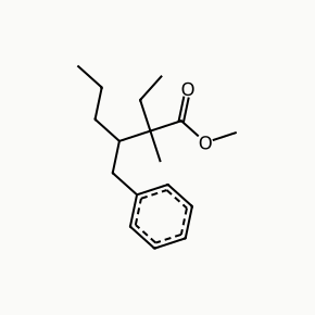 CCCC(Cc1ccccc1)C(C)(CC)C(=O)OC